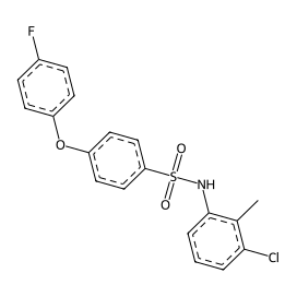 Cc1c(Cl)cccc1NS(=O)(=O)c1ccc(Oc2ccc(F)cc2)cc1